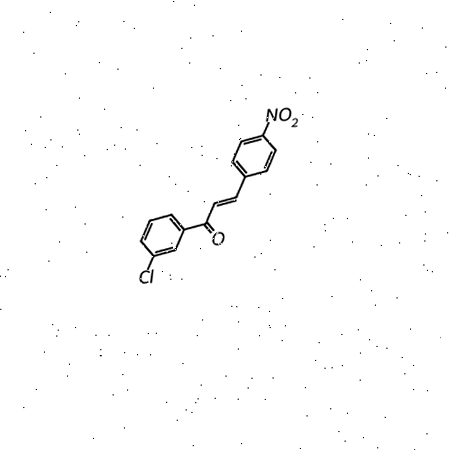 O=C(/C=C/c1ccc([N+](=O)[O-])cc1)c1cccc(Cl)c1